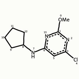 COc1nc(Cl)cc(NC2CCCC2)n1